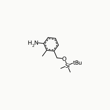 Cc1c(N)cccc1CO[Si](C)(C)C(C)(C)C